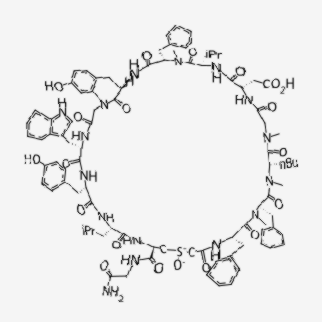 CCCC[C@H]1C(=O)N(C)CC(=O)N[C@@H](CC(=O)O)C(=O)N[C@@H](C(C)C)C(=O)N(C)[C@@H](Cc2ccccc2)C(=O)N[C@H]2Cc3ccc(O)cc3N(CC(=O)N[C@@H](Cc3c[nH]c4ccccc34)C(=O)N[C@@H](Cc3ccc(O)cc3)C(=O)N[C@@H](CC(C)C)C(=O)N[C@H](C(=O)NCC(N)=O)C[S+]([O-])CC(=O)N[C@@H](Cc3ccccc3)C(=O)N(C)[C@@H](Cc3ccccc3)C(=O)N1C)C2=O